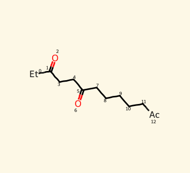 CCC(=O)CCC(=O)CCCCCC(C)=O